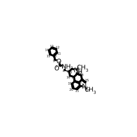 CN1C[C@H](CNC(=O)OCc2ccccc2)CC2c3cccc4c3c(cn4C)C[C@H]21